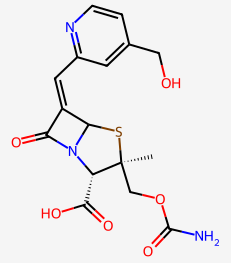 C[C@@]1(COC(N)=O)SC2/C(=C\c3cc(CO)ccn3)C(=O)N2[C@H]1C(=O)O